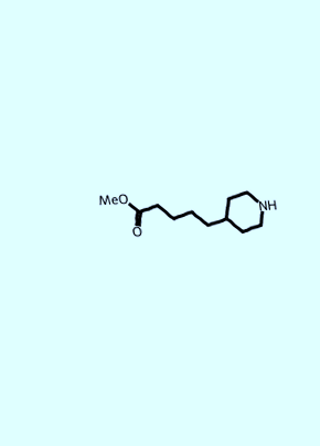 COC(=O)CCCCC1CCNCC1